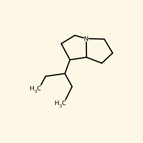 CCC(CC)C1CCN2CCCC12